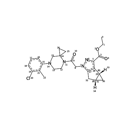 CCOC(=O)c1nn(CC(=O)N2CCN(c3cccc(Cl)c3C)CC23CC3)c2c1[C@@H]1C[C@@H]1C2